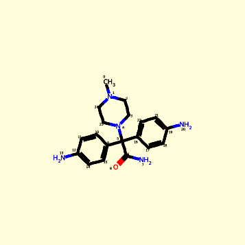 CN1CCN(C(C(N)=O)(c2ccc(N)cc2)c2ccc(N)cc2)CC1